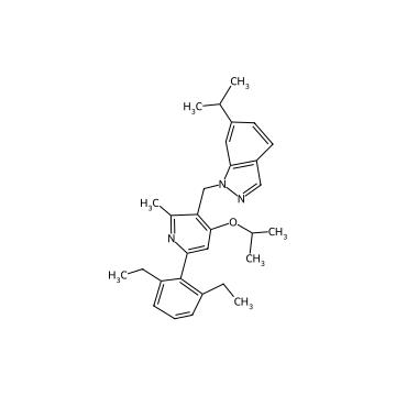 CCc1cccc(CC)c1-c1cc(OC(C)C)c(Cn2ncc3ccc(C(C)C)cc32)c(C)n1